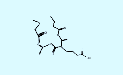 CCCC(=O)OC(C)OC(=O)C(CCCC(=O)O)C(C)OC(=O)CCC